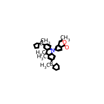 CB(c1ccc2c(c1)C(C)(C)c1cc(B(C)C3CCCC3)ccc1N2c1ccc2c(=O)oc(C)cc2c1)C1CCCCC1